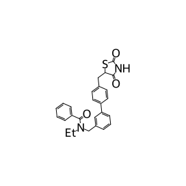 CCN(Cc1cccc(-c2ccc(CC3SC(=O)NC3=O)cc2)c1)C(=O)c1ccccc1